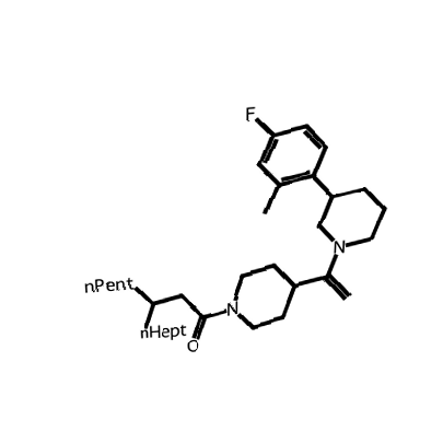 C=C(C1CCN(C(=O)CC(CCCCC)CCCCCCC)CC1)N1CCCC(c2ccc(F)cc2C)C1